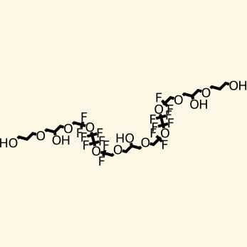 OCCCOCC(O)COCC(F)(F)OC(F)(F)C(F)(F)OC(F)(F)COCC(O)COCC(F)(F)OC(F)(F)C(F)(F)OC(F)(F)COCC(O)COCCCO